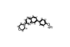 CC(C)Oc1ccc(-c2ccc3ncc(N4CCOCC4)nc3c2)cc1